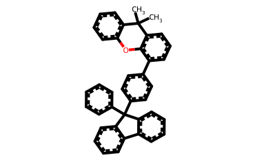 CC1(C)c2ccccc2Oc2c(-c3ccc(C4(c5ccccc5)c5ccccc5-c5ccccc54)cc3)cccc21